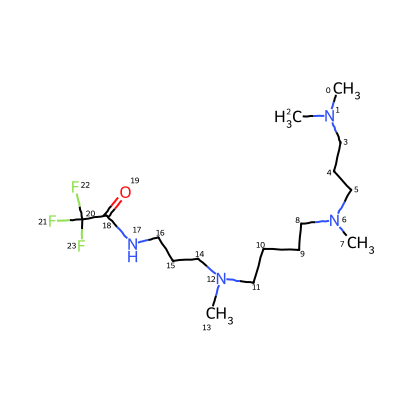 CN(C)CCCN(C)CCCCN(C)CCCNC(=O)C(F)(F)F